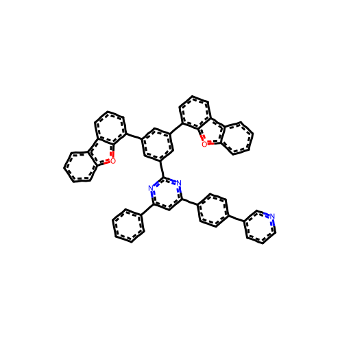 c1ccc(-c2cc(-c3ccc(-c4cccnc4)cc3)nc(-c3cc(-c4cccc5c4oc4ccccc45)cc(-c4cccc5c4oc4ccccc45)c3)n2)cc1